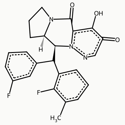 Cc1cccc(C(c2cccc(F)c2)[C@H]2[C@H]3CCCN3C(=O)c3c(O)c(=O)cnn32)c1F